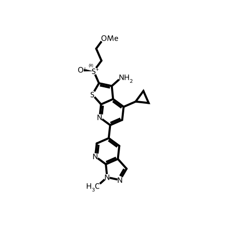 COCC[S@+]([O-])c1sc2nc(-c3cnc4c(cnn4C)c3)cc(C3CC3)c2c1N